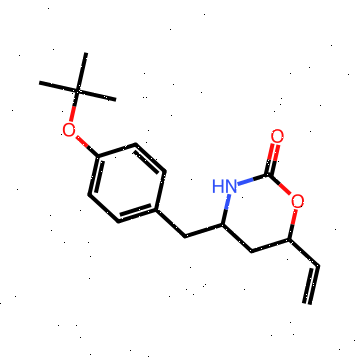 C=CC1CC(Cc2ccc(OC(C)(C)C)cc2)NC(=O)O1